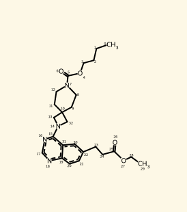 CCCCOC(=O)N1CCC2(CC1)CN(c1ncnc3ccc(CCC(=O)OCC)cc13)C2